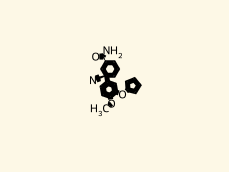 COc1ccc([C@@]2(C#N)CCC[C@@H](C(N)=O)C2)cc1OC1CCCC1